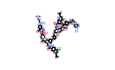 CN(C)CCCNc1ccc2c(=O)n(CC3(O)CCN(C(=O)[C@H](CCCNC(=O)c4ccc5c(Cl)cc(C6CC6)nc5c4)Cc4cccc(-c5cccc(C[C@@H](CCCNC(=O)c6ccc7c(Cl)cc(C8CC8)nc7c6)C(=O)N6CCC(O)(Cn7cnc8cc(-c9ncc(CN%10CCNCC%10)o9)ccc8c7=O)CC6)c5)c4)CC3)cnc2c1